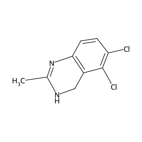 CC1=Nc2ccc(Cl)c(Cl)c2CN1